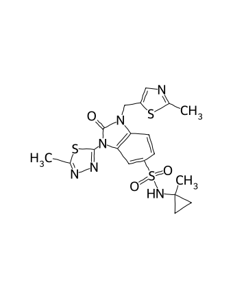 Cc1ncc(Cn2c(=O)n(-c3nnc(C)s3)c3cc(S(=O)(=O)NC4(C)CC4)ccc32)s1